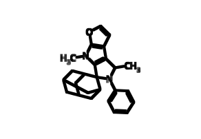 CC1c2c(n(C)c3occc23)C2(C3CC4CC(C3)CC2C4)N1c1ccccc1